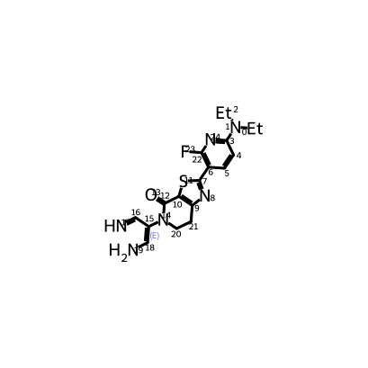 CCN(CC)c1ccc(-c2nc3c(s2)C(=O)N(/C(C=N)=C/N)CC3)c(F)n1